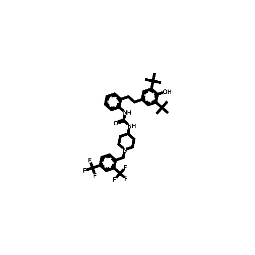 CC(C)(C)c1cc(CCc2ccccc2NC(=O)NC2CCN(Cc3ccc(C(F)(F)F)cc3C(F)(F)F)CC2)cc(C(C)(C)C)c1O